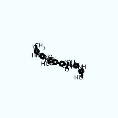 COc1ccc(Nc2ccc(/N=N/C3=C(O)OC4(CCC(C5CCC6(CC5)OC(=O)C(/N=N/c5ccc(Nc7ccc(CO)cc7)cc5)=C(O)O6)CC4)OC3=O)cc2)cc1